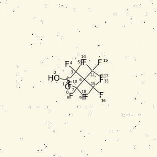 O=S(O)C(F)(F)C(C(F)(F)F)(C(F)(F)F)C(F)(F)F